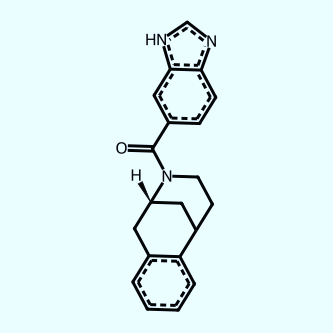 O=C(c1ccc2nc[nH]c2c1)N1CCC2C[C@@H]1Cc1ccccc12